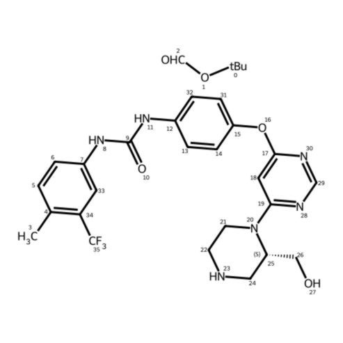 CC(C)(C)OC=O.Cc1ccc(NC(=O)Nc2ccc(Oc3cc(N4CCNC[C@H]4CO)ncn3)cc2)cc1C(F)(F)F